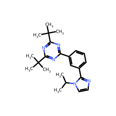 CC(C)n1ccnc1-c1cccc(-c2nc(C(C)(C)C)nc(C(C)(C)C)n2)c1